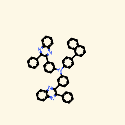 c1ccc(-c2nc3ccccc3nc2-c2cccc(N(c3ccc(-c4cccc5ccccc45)cc3)c3cccc(-c4nc5ccccc5nc4-c4ccccc4)c3)c2)cc1